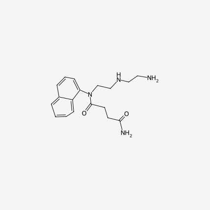 NCCNCCN(C(=O)CCC(N)=O)c1cccc2ccccc12